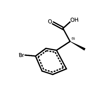 C[C@H](C(=O)O)c1cccc(Br)c1